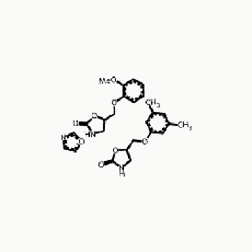 COc1ccccc1OCC1CNC(=O)O1.Cc1cc(C)cc(OCC2CNC(=O)O2)c1.c1cocn1